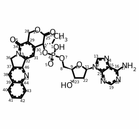 CC[C@@]1(OP(=O)(O)OC[C@H]2O[C@@H](n3cnc4c(N)ncnc43)C[C@@H]2O)C(=O)OCc2c1cc1n(c2=O)Cc2cc3ccccc3nc2-1